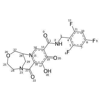 O=C(NCc1c(F)cc(F)cc1F)c1cn2c(c(O)c1=O)C(=O)N1CCOCC2C1